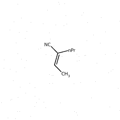 C/C=C(/C#N)CCC